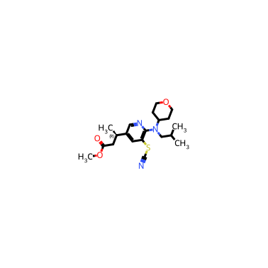 COC(=O)C[C@@H](C)c1cnc(N(CC(C)C)C2CCOCC2)c(SC#N)c1